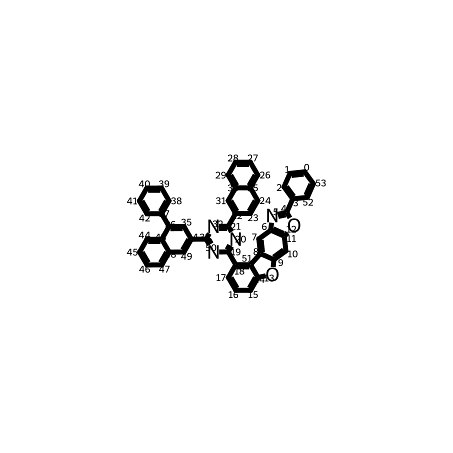 c1ccc(-c2nc3cc4c(cc3o2)oc2cccc(-c3nc(-c5ccc6ccccc6c5)nc(-c5cc(-c6ccccc6)c6ccccc6c5)n3)c24)cc1